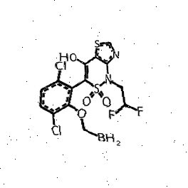 BCOc1c(Cl)ccc(Cl)c1C1=C(O)c2scnc2N(CC(F)F)S1(=O)=O